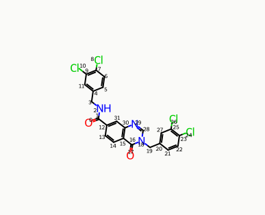 O=C(NCc1ccc(Cl)c(Cl)c1)c1ccc2c(=O)n(Cc3ccc(Cl)c(Cl)c3)cnc2c1